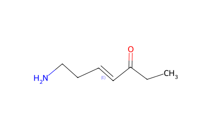 CCC(=O)/C=C/CCN